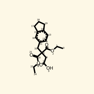 CCOC(=O)C(CC(=O)O)(Cc1ccc2c(c1)CCC2)C(=O)OCC